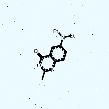 CCN(CC)c1ccc2nc(C)oc(=O)c2c1